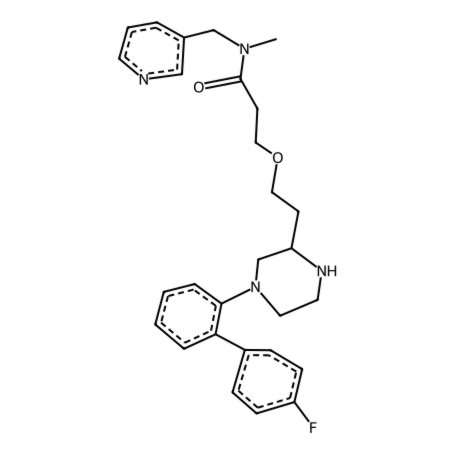 CN(Cc1cccnc1)C(=O)CCOCCC1CN(c2ccccc2-c2ccc(F)cc2)CCN1